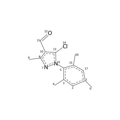 Cc1cc(C)c(-n2nc(C)c(C=O)c2Cl)c(C)c1